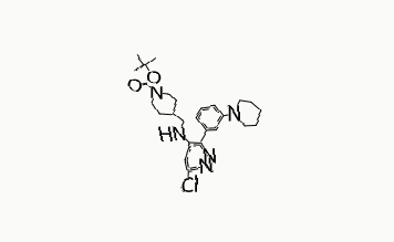 CC(C)(C)OC(=O)N1CCC(CNc2cc(Cl)nnc2-c2cccc(N3CCCCC3)c2)CC1